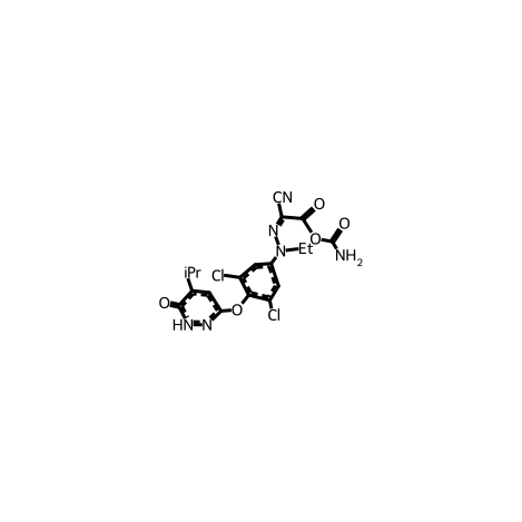 CCN(N=C(C#N)C(=O)OC(N)=O)c1cc(Cl)c(Oc2cc(C(C)C)c(=O)[nH]n2)c(Cl)c1